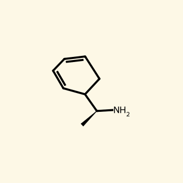 C[C@H](N)C1C=CC=CC1